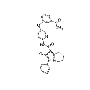 NC(=O)c1cc(Oc2ccc(NC(=O)c3c4n(n(-c5ccccc5)c3=O)CCCC4)nc2)ccn1